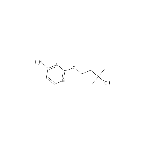 CC(C)(O)CCOc1nccc(N)n1